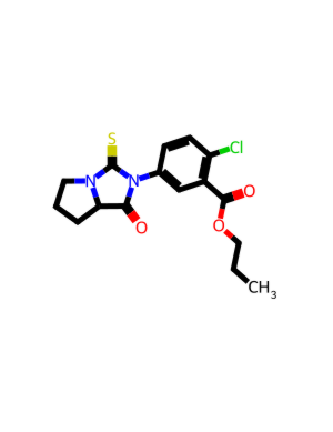 CCCOC(=O)c1cc(N2C(=O)C3CCCN3C2=S)ccc1Cl